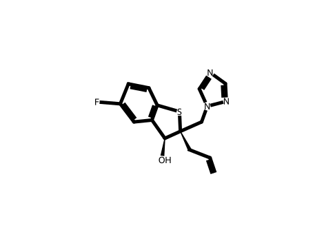 C=CC[C@]1(Cn2cncn2)Sc2ccc(F)cc2[C@@H]1O